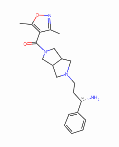 Cc1noc(C)c1C(=O)N1CC2CN(CC[C@H](N)c3ccccc3)CC2C1